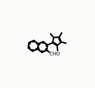 CC1=C(C)C(C)C(c2cc3ccccc3cc2C=O)=C1C